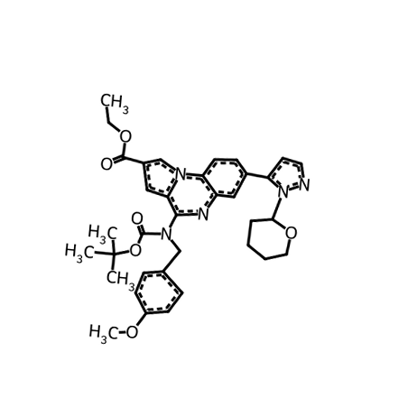 CCOC(=O)c1cc2c(N(Cc3ccc(OC)cc3)C(=O)OC(C)(C)C)nc3cc(-c4ccnn4C4CCCCO4)ccc3n2c1